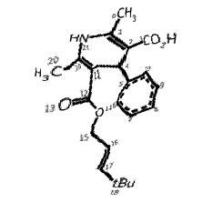 CC1=C(C(=O)O)C(c2ccccc2)C(C(=O)OCC=CC(C)(C)C)=C(C)N1